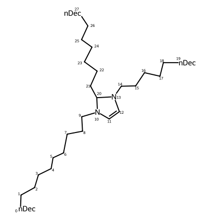 CCCCCCCCCCCCCCCCCCCN1C=CN(CCCCCCCCCCCCCCC)C1CCCCCCCCCCCCCCCC